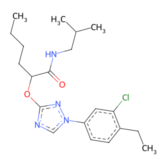 CCCCC(Oc1ncn(-c2ccc(CC)c(Cl)c2)n1)C(=O)NCC(C)C